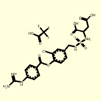 N=C(N)Nc1ccc(C(=O)Oc2ccc(CNS(=O)(=O)NC(CC(=O)O)C(=O)O)cc2Cl)cc1.O=C(O)C(F)(F)F